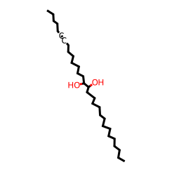 CCCCCCCCCCCCCCC(O)C(O)CCCCCCCCCCCCCC